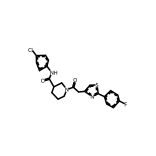 O=C(Nc1ccc(Cl)cc1)C1CCCN(C(=O)Cc2csc(-c3ccc(F)cc3)n2)C1